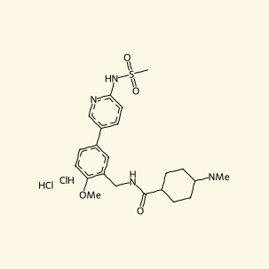 CNC1CCC(C(=O)NCc2cc(-c3ccc(NS(C)(=O)=O)nc3)ccc2OC)CC1.Cl.Cl